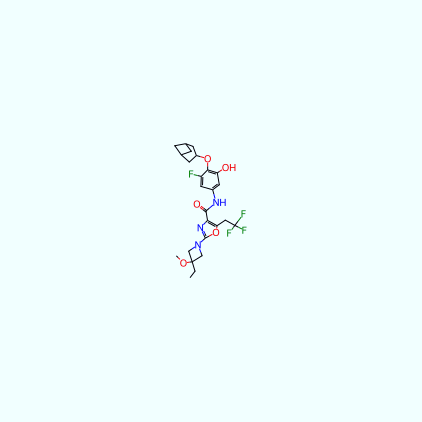 CCC1(OC)CN(c2nc(C(=O)Nc3cc(O)c(OC4CC5CC(C5)C4)c(F)c3)c(CC(F)(F)F)o2)C1